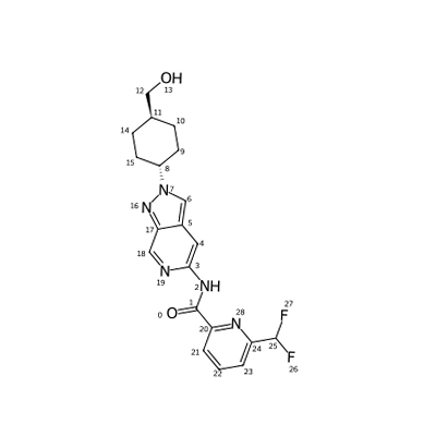 O=C(Nc1cc2cn([C@H]3CC[C@H](CO)CC3)nc2cn1)c1cccc(C(F)F)n1